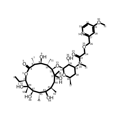 CC[C@H]1OC(=O)[C@H](C)[C@@H](O)[C@H](C)[C@@H](O[C@@H]2O[C@H](C)C[C@H](N(C)C(=O)COCc3cc(OC)ccn3)[C@H]2O)C(C)(O)C[C@@H](C)C(O)[C@H](C)[C@@H](O)[C@]1(C)O